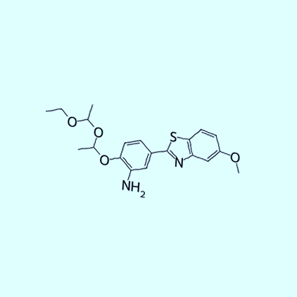 CCOC(C)OC(C)Oc1ccc(-c2nc3cc(OC)ccc3s2)cc1N